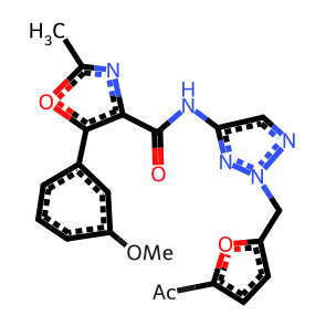 COc1cccc(-c2oc(C)nc2C(=O)Nc2cnn(Cc3ccc(C(C)=O)o3)n2)c1